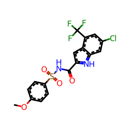 COc1ccc(S(=O)(=O)NC(=O)c2cc3c(C(F)(F)F)cc(Cl)cc3[nH]2)cc1